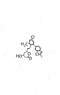 Cc1cc(-c2cc(Cl)cc(C)c2C=CC2CC(O)CC(=O)O2)ccc1F